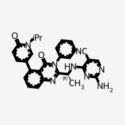 CC(C)n1cc(-c2cccc3nc([C@@H](C)Nc4nc(N)ncc4C#N)n(-c4ccccc4)c(=O)c23)ccc1=O